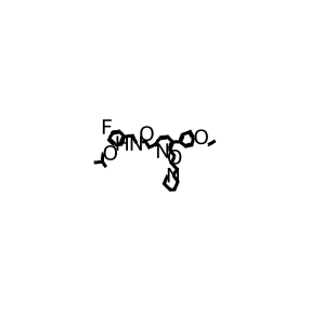 CCOc1ccc(-c2ccc(CC(=O)NCc3cc(F)cc(OCC(C)C)c3)nc2OCCN2CCCCC2)cc1